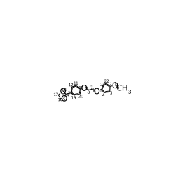 COc1ccc(OCCOc2ccc(C3OCCO3)cc2)cc1